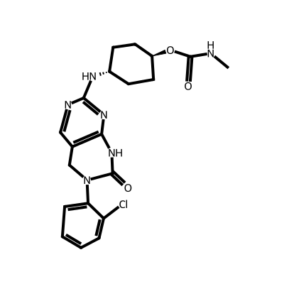 CNC(=O)O[C@H]1CC[C@H](Nc2ncc3c(n2)NC(=O)N(c2ccccc2Cl)C3)CC1